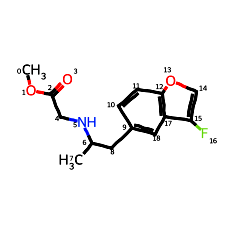 COC(=O)CNC(C)Cc1ccc2occ(F)c2c1